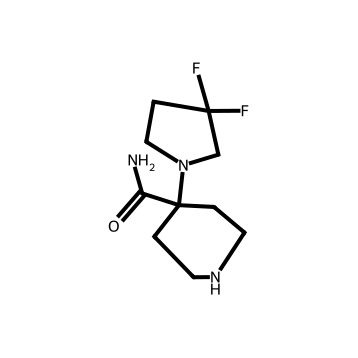 NC(=O)C1(N2CCC(F)(F)C2)CCNCC1